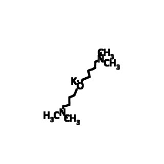 CN(C)CCCCCOCCCCCN(C)C.[K]